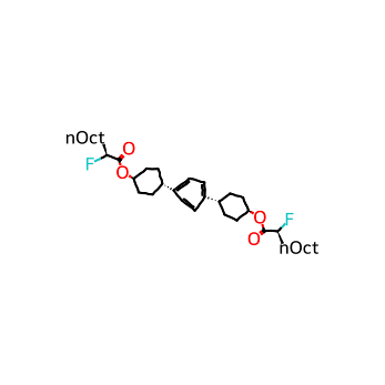 CCCCCCCC[C@H](F)C(=O)O[C@H]1CC[C@H](c2ccc([C@H]3CC[C@H](OC(=O)[C@@H](F)CCCCCCCC)CC3)cc2)CC1